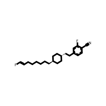 N#Cc1ccc(CC[C@H]2CC[C@H](CCCCCC/C=C/F)CC2)cc1F